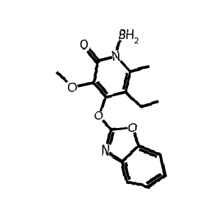 Bn1c(C)c(CC)c(Oc2nc3ccccc3o2)c(OC)c1=O